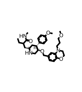 CCC(C[C@H]1C[C@H](c2ccc(OC)cc2)[C@@H](OCc2ccc3c(c2)N(CCCOC)CCO3)CN1)C(=O)NC